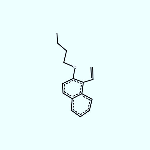 C=Cc1c(OCCCC)ccc2ccccc12